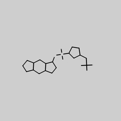 CC(C)(C)CC1CCC(S(C)(C)SC2CCC3CC4CCCC4CC32)C1